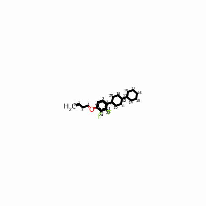 C=CCCOc1ccc(C2CCC(C3CCCCC3)CC2)c(F)c1F